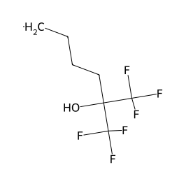 [CH2]CCCC(O)(C(F)(F)F)C(F)(F)F